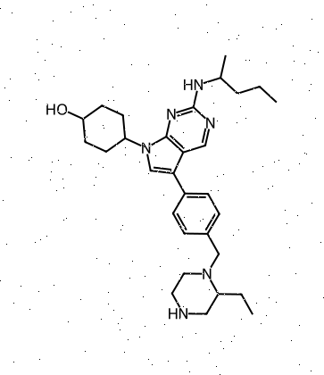 CCCC(C)Nc1ncc2c(-c3ccc(CN4CCNCC4CC)cc3)cn(C3CCC(O)CC3)c2n1